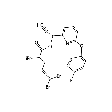 C#CC(OC(=O)C(CC=C(Br)Br)C(C)C)c1cccc(Oc2ccc(F)cc2)n1